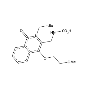 COCCOc1c(CNC(=O)O)n(CC(C)(C)C)c(=O)c2ccccc12